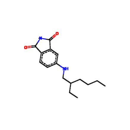 CCCCC(CC)CNc1ccc2c(c1)C(=O)[N]C2=O